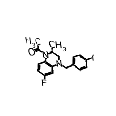 CC(=O)N1c2ccc(F)cc2N(Cc2ccc(I)cc2)C[C@@H]1C